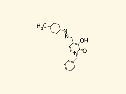 CC1CCC(N=NCc2ccn(Cc3ccccc3)c(=O)c2O)CC1